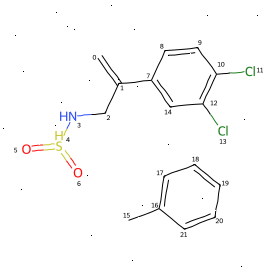 C=C(CN[SH](=O)=O)c1ccc(Cl)c(Cl)c1.Cc1ccccc1